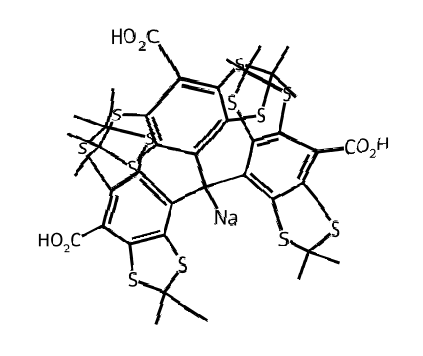 CC1(C)Sc2c(c([C]([Na])(c3c4c(c(C(=O)O)c5c3SC(C)(C)S5)SC(C)(C)S4)c3c4c(c(C(=O)O)c5c3SC(C)(C)S5)SC(C)(C)S4)c3c(c2C(=O)O)SC(C)(C)S3)S1